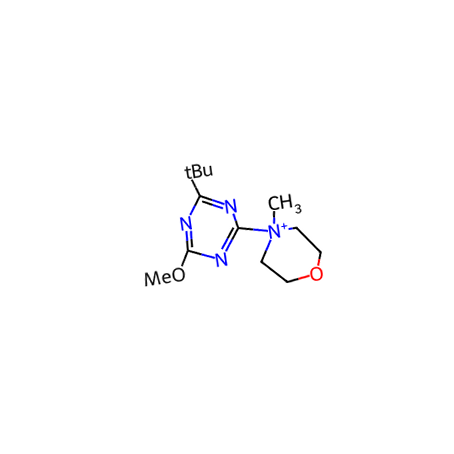 COc1nc(C(C)(C)C)nc([N+]2(C)CCOCC2)n1